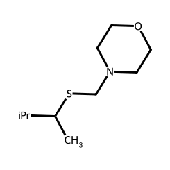 CC(C)C(C)SCN1CCOCC1